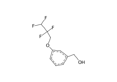 OCc1cccc(OCC(F)(F)C(F)F)c1